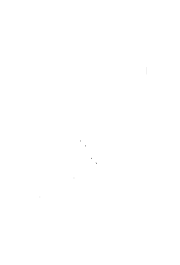 FC(F)(F)Oc1ccc(N2C=c3ccccc3=CN2)cc1